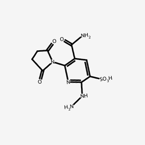 NNc1nc(N2C(=O)CCC2=O)c(C(N)=O)cc1S(=O)(=O)O